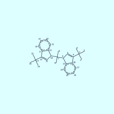 CC(C)(C)C1=CC(C(C)(C)C2C=C(C(C)(C)C)c3ccccc32)c2ccccc21